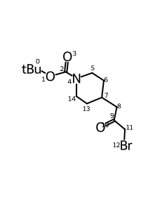 CC(C)(C)OC(=O)N1CCC(CC(=O)CBr)CC1